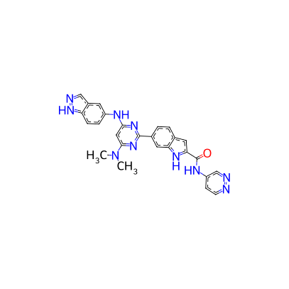 CN(C)c1cc(Nc2ccc3[nH]ncc3c2)nc(-c2ccc3cc(C(=O)Nc4ccnnc4)[nH]c3c2)n1